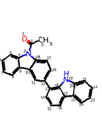 CC(=O)n1c2ccccc2c2cc(-c3cccc4c3[nH]c3ccccc34)ccc21